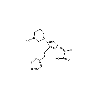 CN1CCC=C(c2nsnc2SCc2ccncc2)C1.O=C(O)C(=O)O